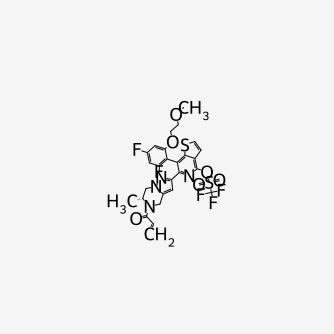 C=CC(=O)N1Cc2cc(-c3nc(OS(=O)(=O)C(F)(F)F)c4ccsc4c3-c3c(F)cc(F)cc3OCCOC)nn2C[C@H]1C